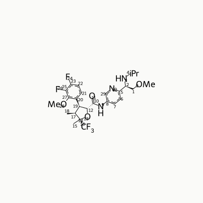 COC[C@H](NC(C)C)c1ccc(NC(=O)[C@@H]2O[C@@](C)(C(F)(F)F)[C@@H](C)[C@H]2c2ccc(F)c(F)c2OC)cn1